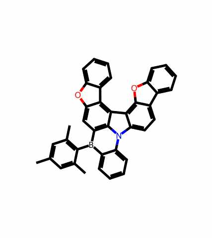 Cc1cc(C)c(B2c3ccccc3-n3c4ccc5c6ccccc6oc5c4c4c5c(cc2c43)oc2ccccc25)c(C)c1